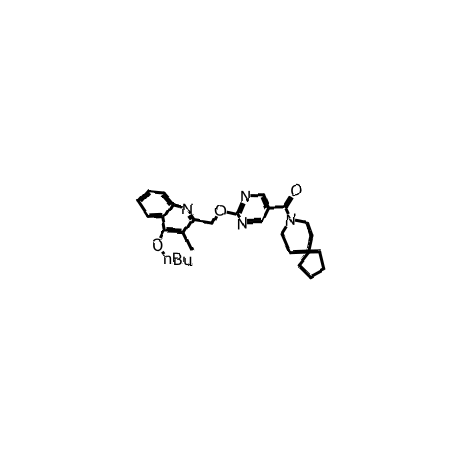 CCCCOc1c(C)c(COc2ncc(C(=O)N3CCC4(CCCC4)CC3)cn2)nc2ccccc12